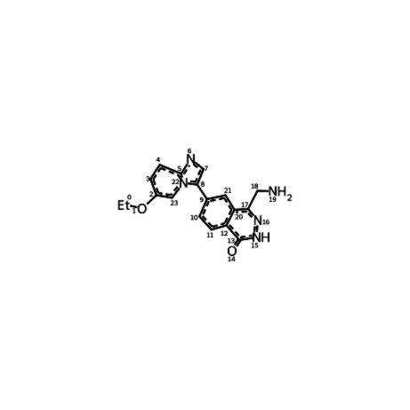 CCOc1ccc2ncc(-c3ccc4c(=O)[nH]nc(CN)c4c3)n2c1